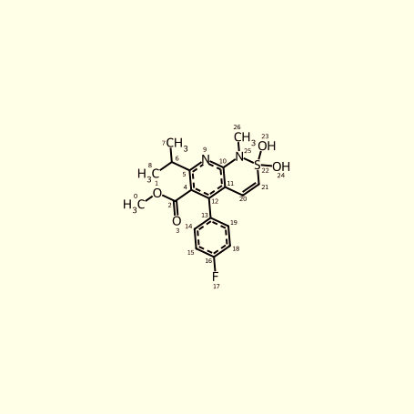 COC(=O)c1c(C(C)C)nc2c(c1-c1ccc(F)cc1)C=CS(O)(O)N2C